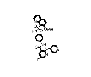 COc1ccc2cccnc2c1S(=O)(=O)N[C@H]1CC[C@@H](NC(=O)c2cc(F)cnc2OC2CCSCC2)CC1